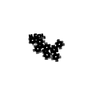 CC1(C)c2ccccc2-c2c1ccc1c2c2ccccc2n1-c1ccc(-c2nc(-c3ccccc3)nc(-c3ccccc3)n2)c2c1sc1ccccc12